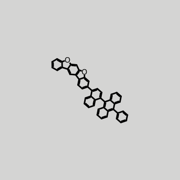 c1ccc(-c2c3ccccc3c(-c3ccc(-c4ccc5c(c4)oc4cc6oc7ccccc7c6cc45)c4ccccc34)c3ccccc23)cc1